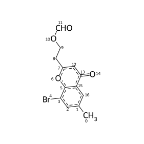 Cc1cc(Br)c2oc(CCOC=O)cc(=O)c2c1